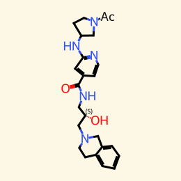 CC(=O)N1CCC(Nc2cc(C(=O)NC[C@H](O)CN3CCc4ccccc4C3)ccn2)C1